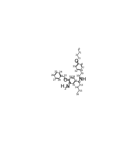 CCCCOc1ccc(CCNC(CCCC)c2ccc(OCc3ccccc3)c(N)c2)cc1